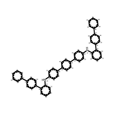 c1ccc(-c2ccc(-c3ccccc3Nc3ccc(-c4ccc(-c5ccc(Nc6ccccc6-c6ccc(-c7ccccc7)cc6)cc5)cc4)cc3)cc2)cc1